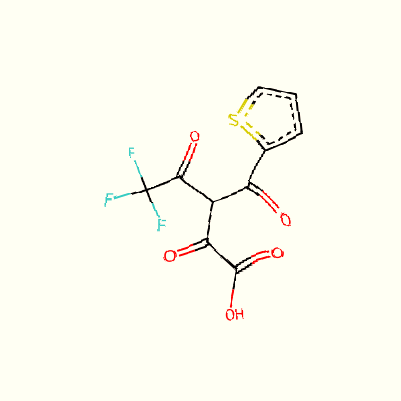 O=C(O)C(=O)C(C(=O)c1cccs1)C(=O)C(F)(F)F